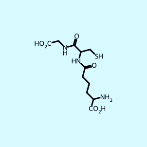 NC(CCCC(=O)NC(CS)C(=O)NCC(=O)O)C(=O)O